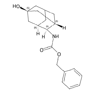 O=C(N[C@H]1[C@@H]2CC3C[C@H]1C[C@@](O)(C3)C2)OCc1ccccc1